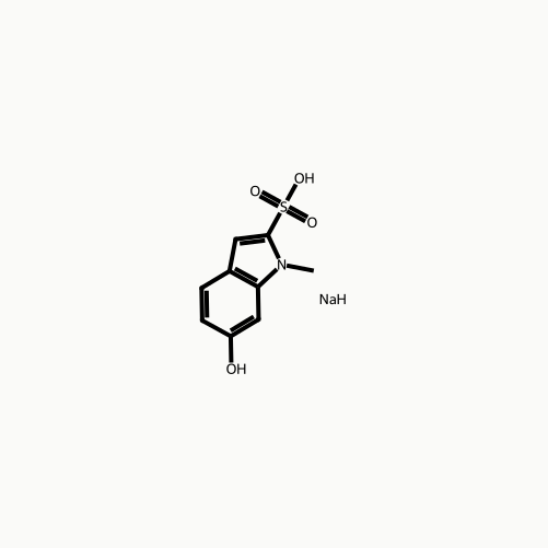 Cn1c(S(=O)(=O)O)cc2ccc(O)cc21.[NaH]